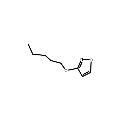 CCCCCOc1ccon1